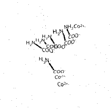 NC(=O)[O-].NC(=O)[O-].NC(=O)[O-].NC(=O)[O-].NC(=O)[O-].NC(=O)[O-].[Co+2].[Co+2].[Co+2]